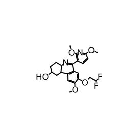 COc1ccc(C2=NC3CCC(O)CC3c3cc(OC)c(OCC(F)F)cc32)c(OC)n1